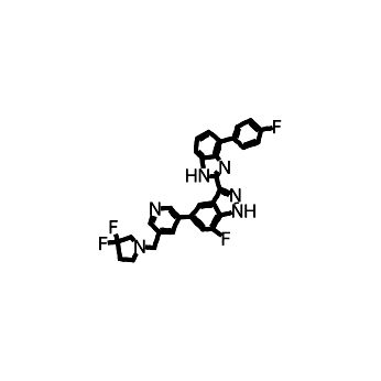 Fc1ccc(-c2cccc3[nH]c(-c4n[nH]c5c(F)cc(-c6cncc(CN7CCC(F)(F)C7)c6)cc45)nc23)cc1